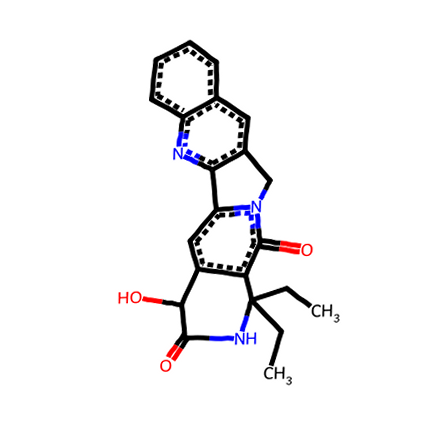 CCC1(CC)NC(=O)C(O)c2cc3n(c(=O)c21)Cc1cc2ccccc2nc1-3